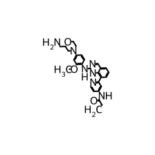 C=CC(=O)Nc1ccnc(-c2cccc3cnc(Nc4ccc(N5CCOC(CN)C5)cc4OC)nc23)c1